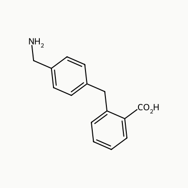 NCc1ccc(Cc2ccccc2C(=O)O)cc1